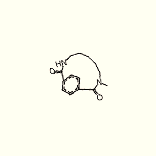 CN1CCCCCNC(=O)c2ccc(cc2)C1=O